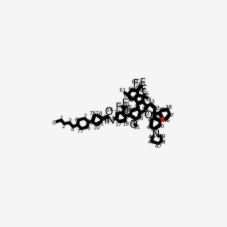 CCCCCC1CCC(c2ccc(C(=O)Nc3ccc(-c4cc5c6c(c7c(c5cc4OC)OC(c4ccccc4)(c4ccc(N5CCCCC5)cc4)C=C7)C(C)(C)c4c-6cc(C)cc4C(F)(F)F)c(C(F)(F)F)c3)cc2)CC1